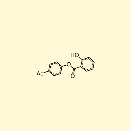 CC(=O)c1ccc(OC(=O)c2ccccc2O)cc1